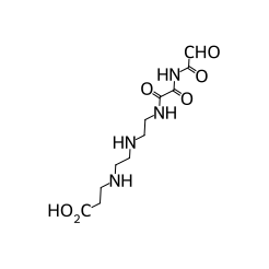 O=CC(=O)NC(=O)C(=O)NCCNCCNCCC(=O)O